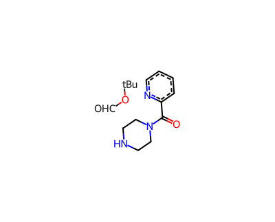 CC(C)(C)OC=O.O=C(c1ccccn1)N1CCNCC1